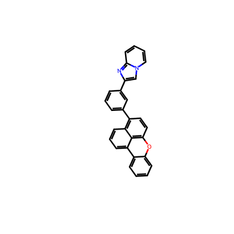 c1cc(-c2cn3ccccc3n2)cc(-c2ccc3c4c(cccc24)-c2ccccc2O3)c1